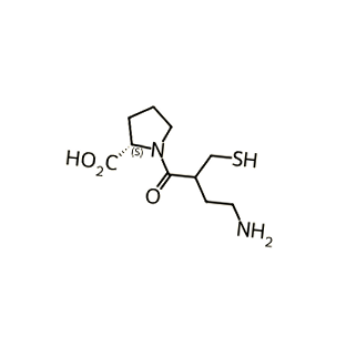 NCCC(CS)C(=O)N1CCC[C@H]1C(=O)O